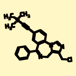 C[Si](C)(C)C#Cc1ccc2c(c1)C(c1ccccc1)=NCc1c(CCl)ncn1-2